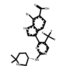 CC1(C)CC[C@H](Nc2ncc(C(F)(F)F)c(-c3c[nH]c4c(Br)c(C(=O)O)ccc34)n2)CN1